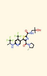 C[C@H](Nc1cc(C(F)(F)F)c(-c2sc(C(=O)NCC(C)(C)O)nc2C(=O)N2CCC[C@@H]2C)cn1)C(F)(F)F